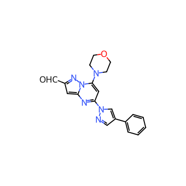 O=Cc1cc2nc(-n3cc(-c4ccccc4)cn3)cc(N3CCOCC3)n2n1